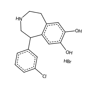 Br.Oc1cc2c(cc1O)C(c1cccc(Cl)c1)CNCC2